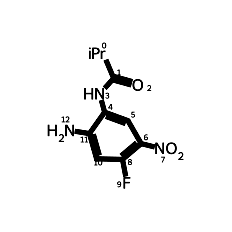 CC(C)C(=O)Nc1cc([N+](=O)[O-])c(F)cc1N